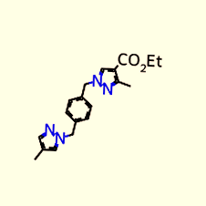 CCOC(=O)c1cn(Cc2ccc(Cn3cc(C)cn3)cc2)nc1C